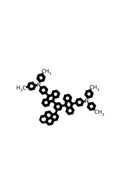 Cc1ccc(N(c2ccc(C)cc2)c2ccc(-c3c4ccccc4c(-c4cc(-c5c6ccccc6c(-c6ccc(N(c7ccc(C)cc7)c7ccc(C)cc7)cc6)c6ccccc56)cc(-c5ccc6ccc7c8c(ccc5c68)=CCC7)c4)c4ccccc34)cc2)cc1